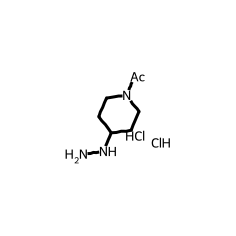 CC(=O)N1CCC(NN)CC1.Cl.Cl